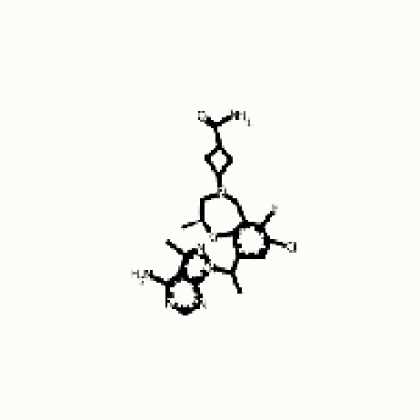 Cc1nn(C(C)c2cc(Cl)c(F)c3c2O[C@@H](C)CN(C2CC(C(N)=O)C2)C3)c2ncnc(N)c12